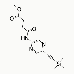 COC(=O)CCC(=O)Nc1cnc(C#C[Si](C)(C)C)cn1